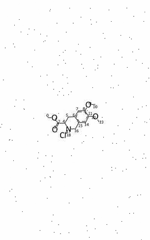 COC(=O)C1Cc2cc(OC)c(OC)cc2CN1Cl